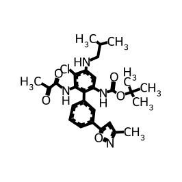 CC(=O)C(=O)Nc1c(Cl)c(NCC(C)C)cc(NC(=O)OC(C)(C)C)c1-c1cccc(-c2cc(C)no2)c1